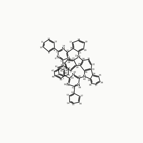 C1=CCCC(c2nc(-c3ccccc3)nc(-c3ccccc3-n3c4ccccc4c4c3ccc3c5ccccc5n(-c5nc(-c6ccccc6)nc(-c6ccccc6)n5)c34)n2)=C1